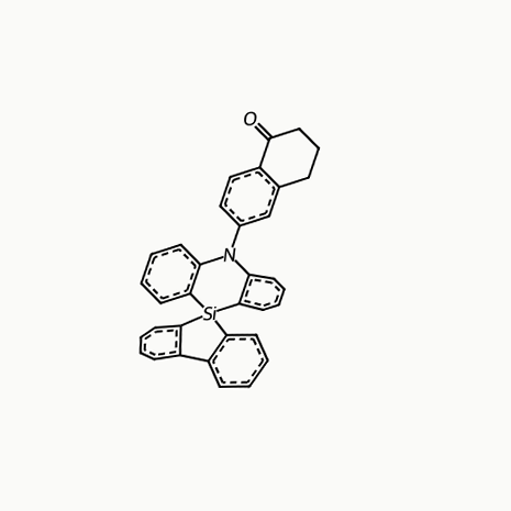 O=C1CCCc2cc(N3c4ccccc4[Si]4(c5ccccc5-c5ccccc54)c4ccccc43)ccc21